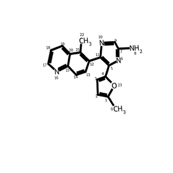 Cc1ccc(-c2nc(N)cnc2-c2ccc3ncccc3c2C)o1